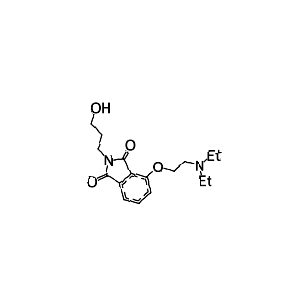 CCN(CC)CCOc1cccc2c1C(=O)N(CCCO)C2=O